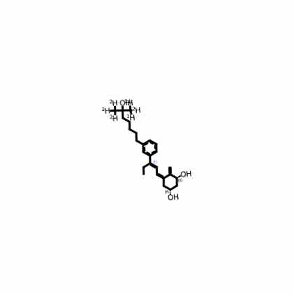 [2H]C([2H])([2H])C(O)(CCCCCc1cccc(/C(=C/C=C2C[C@@H](O)C[C@H](O)C2=C)CC)c1)C([2H])([2H])[2H]